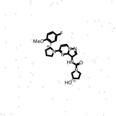 COc1ccc(F)cc1[C@H]1CCCN1C1=NC2C(NC(=O)N3CC[C@H](O)C3)C=NN2C=C1